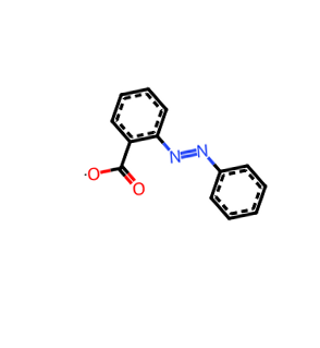 [O]C(=O)c1ccccc1N=Nc1ccccc1